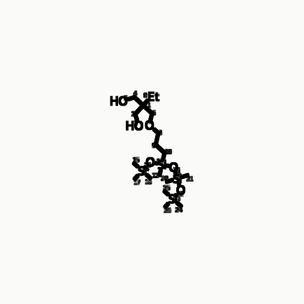 CCC(CO)(CO)COCCC[Si](C)(O[Si](C)(C)C)O[Si](C)(C)O[Si](C)(C)C